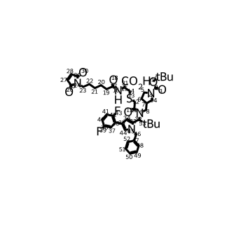 CC(C)(C)OC(=O)N1CCC(CN(C(=O)CSCC(NC(=O)CCCCCN2C(=O)C=CC2=O)C(=O)O)C(c2cc(-c3cc(F)ccc3F)cn2Cc2ccccc2)C(C)(C)C)C1